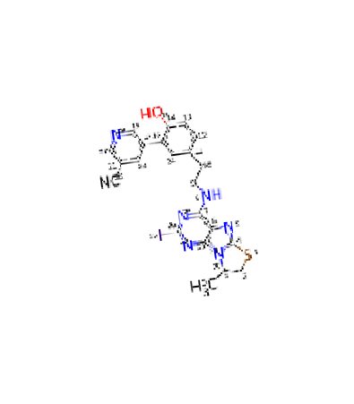 C[C@@H]1CSc2nc3c(NCCc4ccc(O)c(-c5cncc(C#N)c5)c4)nc(I)nc3n21